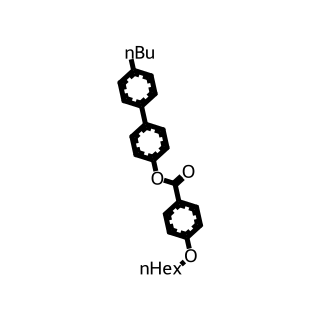 CCCCCCOc1ccc(C(=O)Oc2ccc(-c3ccc(CCCC)cc3)cc2)cc1